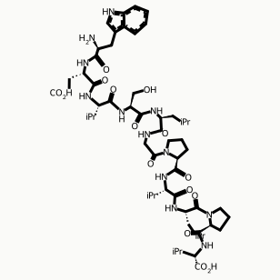 CC(C)C[C@H](NC(=O)[C@H](CO)NC(=O)[C@@H](NC(=O)[C@H](CC(=O)O)NC(=O)[C@@H](N)Cc1c[nH]c2ccccc12)C(C)C)C(=O)NCC(=O)N1CCC[C@H]1C(=O)N[C@H](C(=O)N[C@@H](CC(C)C)C(=O)N1CCC[C@H]1C(=O)N[C@H](C(=O)O)C(C)C)C(C)C